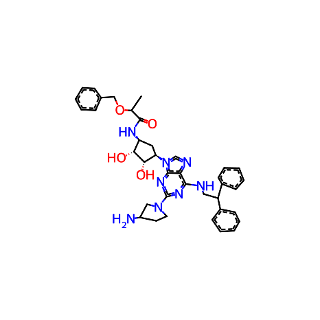 CC(OCc1ccccc1)C(=O)N[C@H]1C[C@@H](n2cnc3c(NCC(c4ccccc4)c4ccccc4)nc(N4CCC(N)C4)nc32)[C@H](O)[C@@H]1O